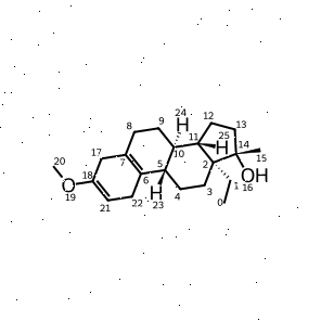 CC[C@]12CC[C@@H]3C4=C(CC[C@H]3[C@@H]1CC[C@]2(C)O)CC(OC)=CC4